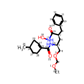 CCOCOC[C@H](C[C@H](Cc1ccccc1)C(=O)NO)NC(=O)C1=CCC(C)CC1